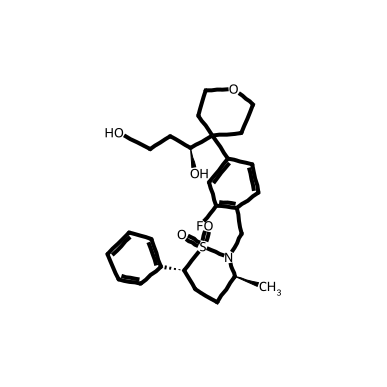 C[C@H]1CC[C@H](c2ccccc2)S(=O)(=O)N1Cc1ccc(C2([C@@H](O)CCO)CCOCC2)cc1F